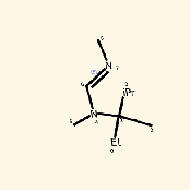 CCC(C)(C(C)C)N(C)/C=N/C